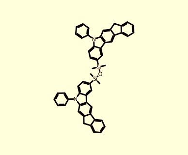 C[Si](C)(O[Si](C)(C)c1ccc2c(c1)c1cc3c(cc1n2-c1ccccc1)Cc1ccccc1-3)c1ccc2c(c1)c1cc3c(cc1n2-c1ccccc1)Cc1ccccc1-3